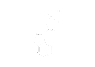 CC(C)(C)OC(=O)n1ncc2ncccc21